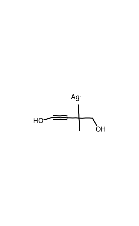 CC(C)(C#CO)CO.[Ag]